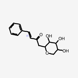 O=C(/C=C/c1ccccc1)CC1OCC(O)C(O)C1O